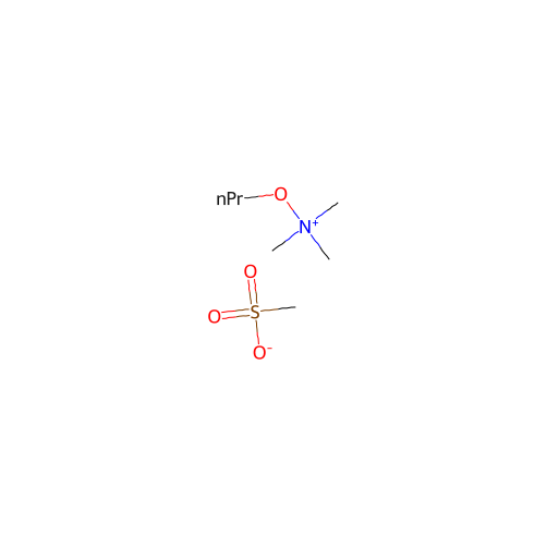 CCCO[N+](C)(C)C.CS(=O)(=O)[O-]